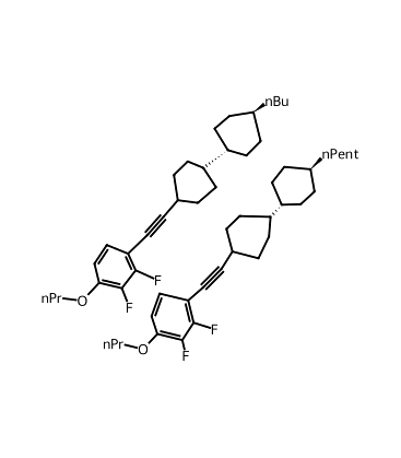 CCCCC[C@H]1CC[C@H](C2CCC(C#Cc3ccc(OCCC)c(F)c3F)CC2)CC1.CCCC[C@H]1CC[C@H](C2CCC(C#Cc3ccc(OCCC)c(F)c3F)CC2)CC1